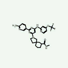 CNC(=O)C1CCCC2(CCN(c3cc(Nc4cc(OC(F)(F)F)ccn4)nc(-c4ccc(N)nc4)n3)C2)C1